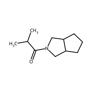 CC(C)C(=O)N1CC2CCCC2C1